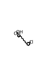 O=C(O)c1ccc(CCCCCCc2cccc(Cl)c2)s1